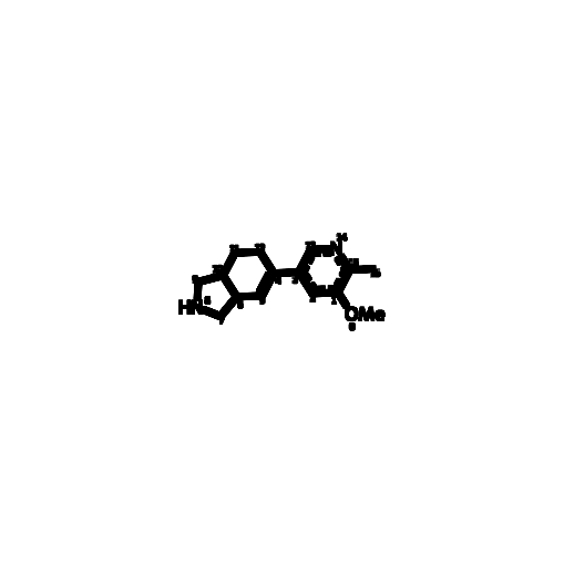 COc1cc(C2=CC3CNCC3CC2)cnc1C